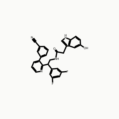 N#Cc1cccc(-c2cccnc2C(CNC(=O)Cc2c[nH]c3ccc(O)cc23)c2cc(F)cc(F)c2)c1